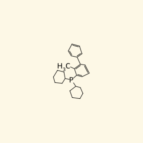 Cc1c(-c2ccccc2)cccc1P(C1CCCCC1)C1CCCCC1